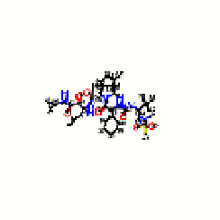 CCCC(NC(=O)[C@@H]1[C@H]2CCC(C)[C@H]2CN1C(=O)[C@@H](NC(=O)N[C@H](CN(C)S(C)(=O)=O)C(C)(C)C)C1CCCCC1)C(=O)C(=O)NC1CC1